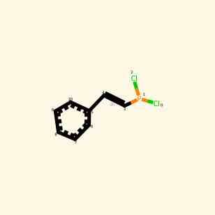 ClP(Cl)/C=C/c1ccccc1